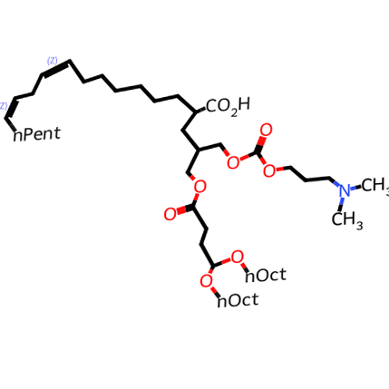 CCCCC/C=C\C/C=C\CCCCCCC(CC(COC(=O)CCC(OCCCCCCCC)OCCCCCCCC)COC(=O)OCCCN(C)C)C(=O)O